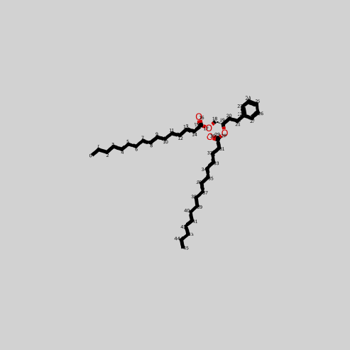 CCCCCCCCCCCCCCCC(=O)OC[C@H](C[CH]c1ccccc1)OC(=O)CCCCCCCCCCCCCCC